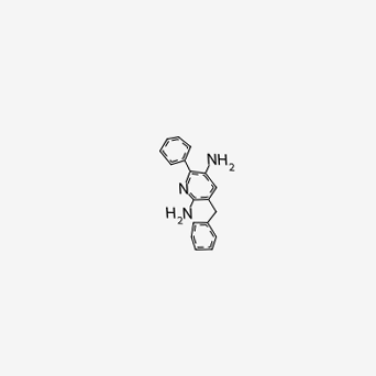 Nc1cc(Cc2ccccc2)c(N)nc1-c1ccccc1